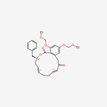 CCOCOc1cc2c(c(OCOCC)c1)C(=O)O[C@H](Cc1ccccc1)C/C=C/CC/C=C/C(=O)C2